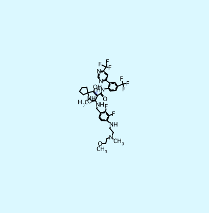 CNC1(/C(O)=C(\C(=O)NCc2ccc(NCCN(C)CCOC)c(F)c2F)C(=O)Nc2ccc(C(F)(F)F)cc2-c2cc(C(F)(F)F)ncn2)CCCC1